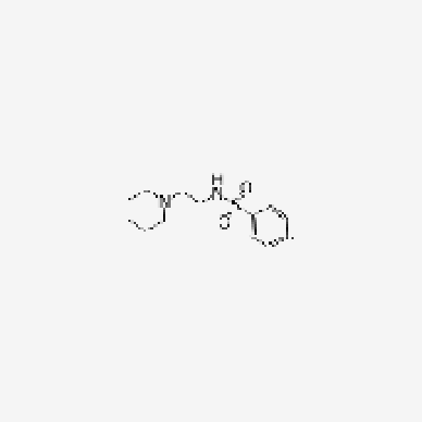 O=S(=O)(NCCN1CCCCC1)c1cc[c]cc1